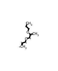 C=CCOCC(C)OCCC